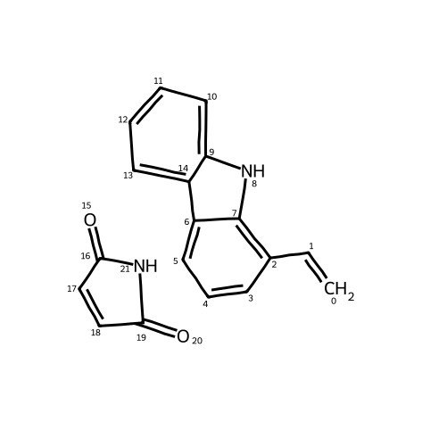 C=Cc1cccc2c1[nH]c1ccccc12.O=C1C=CC(=O)N1